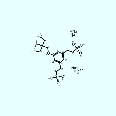 NC(CO)(CO)COc1cc(CCP(=O)([O-])[O-])cc(CCP(=O)([O-])[O-])c1.[Na+].[Na+].[Na+].[Na+]